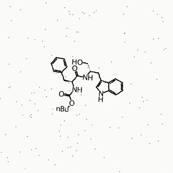 CCCCOC(=O)N[C@@H](Cc1ccccc1)C(=O)N[C@H](CO)Cc1c[nH]c2ccccc12